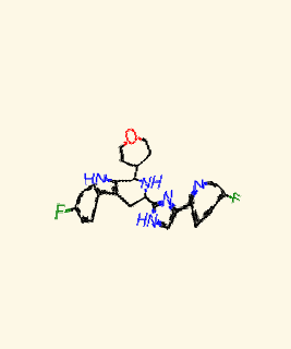 Fc1ccc(-c2c[nH]c(C3Cc4c([nH]c5cc(F)ccc45)C(C4CCOCC4)N3)n2)nc1